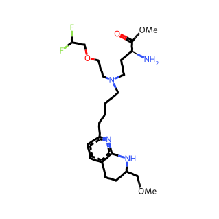 COCC1CCc2ccc(CCCCN(CCOCC(F)F)CC[C@H](N)C(=O)OC)nc2N1